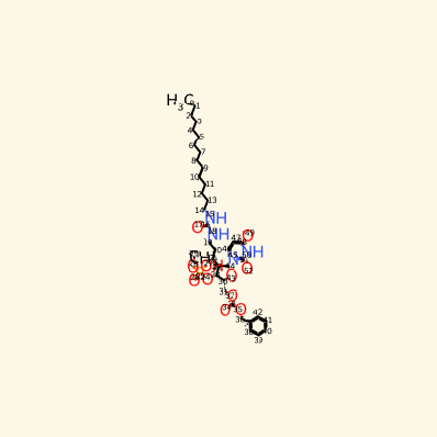 CCCCCCCCCCCCCCCNC(=O)NCCCC1[C@@H](OP(=O)(O)OC)[C@@H](COC(=O)OCc2ccccc2)O[C@H]1n1ccc(=O)[nH]c1=O